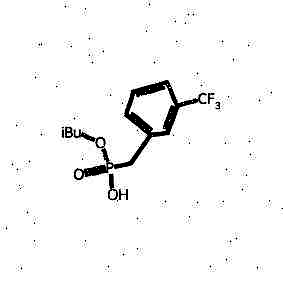 CCC(C)OP(=O)(O)Cc1cccc(C(F)(F)F)c1